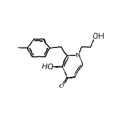 Cc1ccc(Cc2c(O)c(=O)ccn2CCO)cc1